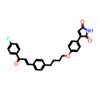 O=C1C=C(c2ccc(OCCCCc3ccc(C=CC(=O)c4ccc(F)cc4)cc3)cc2)C(=O)N1